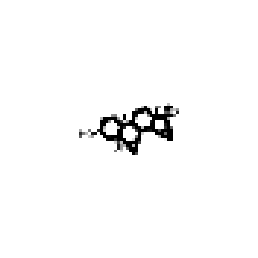 C[C@]12CCC3C(C4CC4[C@]4(O)C[C@@H](O)CC[C@]34C)C1C1CC1[C@@]21CO1